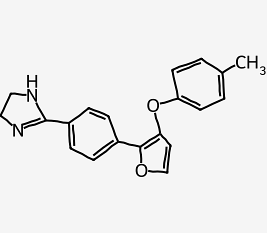 Cc1ccc(Oc2ccoc2-c2ccc(C3=NCCN3)cc2)cc1